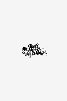 CC[C@H]1OC(=O)[C@H](Cc2ccccc2)C(=O)[C@H](C)[C@@H](O[C@@H]2O[C@H](C)CC(N)C2O)[C@](C)(OC)C[C@@H](C)CN[C@H](C)[C@H]2N(CCCCn3cc(-c4cccc(N)c4)nn3)C(=O)O[C@]12C